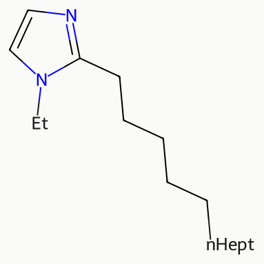 CCCCCCCCCCCCc1nccn1CC